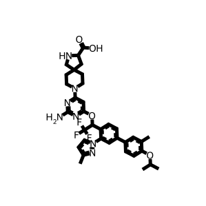 Cc1ccn(-c2cc(-c3ccc(OC(C)C)c(C)c3)ccc2C(Oc2cc(N3CCC4(CC3)CNC(C(=O)O)C4)nc(N)n2)C(F)(F)F)n1